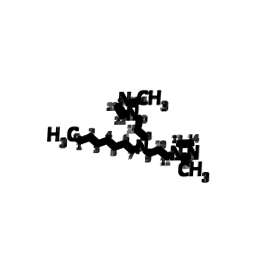 CCCCCCCCN(CCCn1ccnc1C)CCCn1ccnc1C